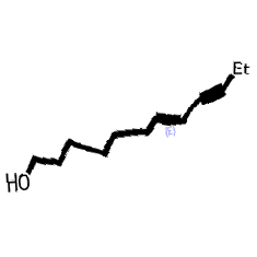 CCC#C/C=C/CCCCCCO